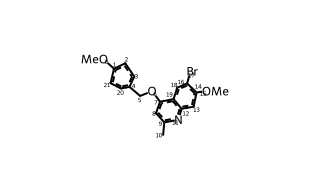 COc1ccc(COc2cc(C)nc3cc(OC)c(Br)cc23)cc1